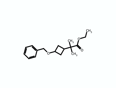 CCOC(=O)C(C)(C)C1CC(OCc2ccccc2)C1